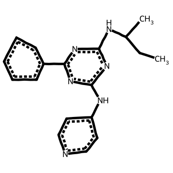 CCC(C)Nc1nc(Nc2ccncc2)nc(-c2ccccc2)n1